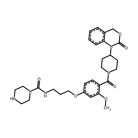 COc1cc(OCCCNC(=O)N2CCNCC2)ccc1C(=O)N1CCC(N2C(=O)OCc3ccccc32)CC1